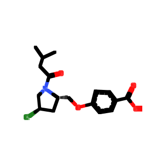 CC(C)CC(=O)N1C[C@H](Cl)C[C@H]1COc1ccc(C(=O)O)cc1